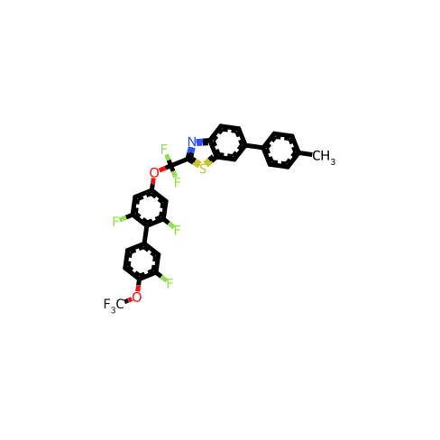 Cc1ccc(-c2ccc3nc(C(F)(F)Oc4cc(F)c(-c5ccc(OC(F)(F)F)c(F)c5)c(F)c4)sc3c2)cc1